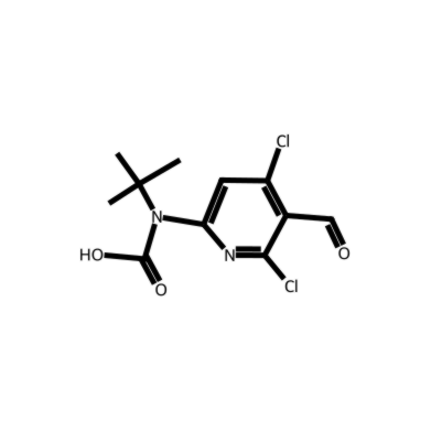 CC(C)(C)N(C(=O)O)c1cc(Cl)c(C=O)c(Cl)n1